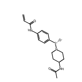 C=CC(=O)Nc1ccc([S@+]([O-])N2CCC(NC(C)=O)CC2)cc1